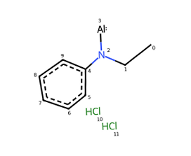 CC[N]([Al])c1ccccc1.Cl.Cl